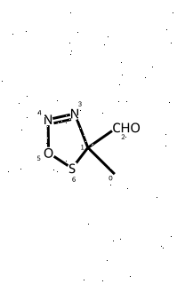 CC1(C=O)N=NOS1